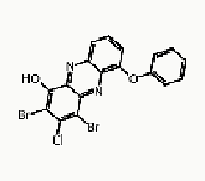 Oc1c(Br)c(Cl)c(Br)c2nc3c(Oc4ccccc4)cccc3nc12